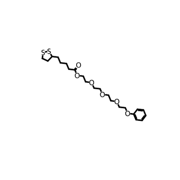 O=C(CCCCC1CCSS1)OCCOCCOCCOCCOc1ccccc1